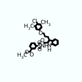 COC(=O)c1cccc(S(=O)(=O)NC(=O)c2[nH]c3ccccc3c2CCCOc2cc(C)c(Cl)c(C)c2)c1